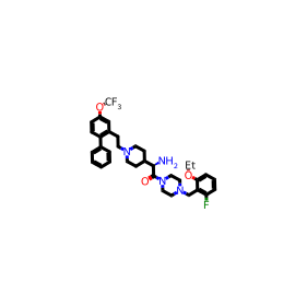 CCOc1cccc(F)c1CN1CCN(C(=O)[C@H](N)C2CCN(CCc3cc(OC(F)(F)F)ccc3-c3ccccc3)CC2)CC1